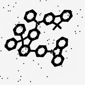 CC1(C)c2ccccc2-c2ccc(N(c3ccccc3)c3ccc4c(c3)C(c3ccccc3)(c3ccccc3)c3cccc(-c5ccc(-n6c7ccccc7c7ccccc76)cc5)c3-4)cc21